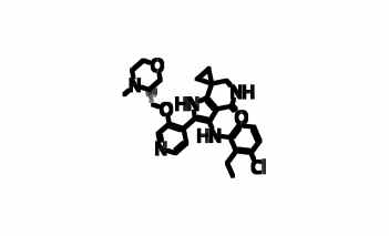 CCc1c(Cl)cccc1Nc1c(-c2ccncc2OC[C@H]2COCCN2C)[nH]c2c1C(=O)NCC21CC1